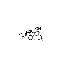 Cc1ccc2c(cnn2C2CCCCO2)c1-c1c(C#N)c(O)nc2c1CCC(C)(C)C2